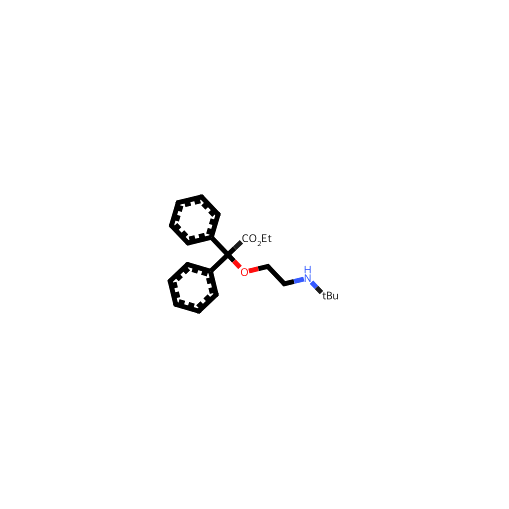 CCOC(=O)C(OCCNC(C)(C)C)(c1ccccc1)c1ccccc1